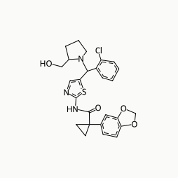 O=C(Nc1ncc(C(c2ccccc2Cl)N2CCCC2CO)s1)C1(c2ccc3c(c2)OCO3)CC1